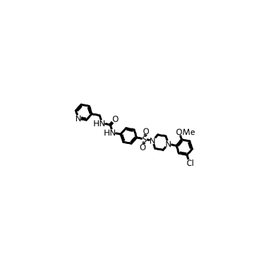 COc1ccc(Cl)cc1N1CCN(S(=O)(=O)c2ccc(NC(=O)NCc3cccnc3)cc2)CC1